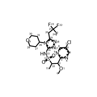 COC(c1ncc(Cl)cn1)C(C)S(=O)(=O)Nc1nnc(CC(F)(F)F)n1C1CCOCC1